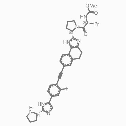 COC(=O)N[C@H](C(=O)N1CCC[C@H]1c1nc2c([nH]1)-c1ccc(C#Cc3ccc(-c4cnc([C@@H]5CCCN5)[nH]4)cc3F)cc1CC2)C(C)C